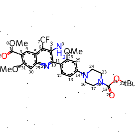 COC(=O)c1cc2c(C(F)(F)F)c(N)c(-c3ccc(N4CCN(C(=O)OC(C)(C)C)CC4)cc3OC)nc2cc1OC